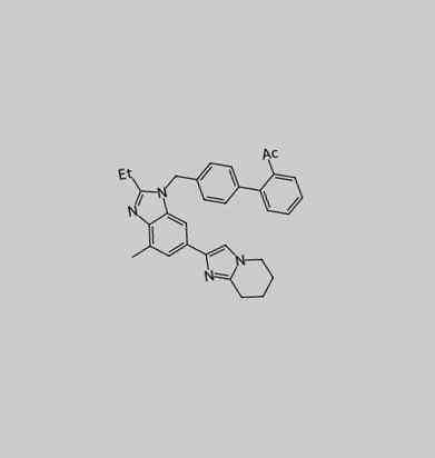 CCc1nc2c(C)cc(-c3cn4c(n3)CCCC4)cc2n1Cc1ccc(-c2ccccc2C(C)=O)cc1